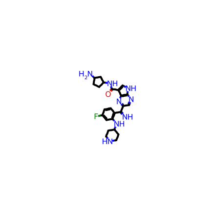 N=C(c1cnc2[nH]cc(C(=O)NC3CCC(N)C3)c2n1)c1ccc(F)cc1NC1CCNCC1